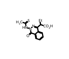 CCC(C(=O)O)c1nn(NC(C)=S)c(=O)c2ccccc12